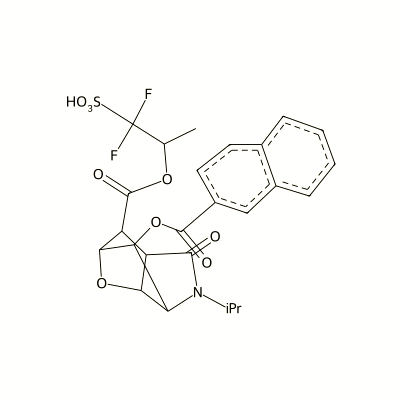 CC(C)N1C(=O)C2C3OC(C(OC(=O)c4ccc5ccccc5c4)C31)C2C(=O)OC(C)C(F)(F)S(=O)(=O)O